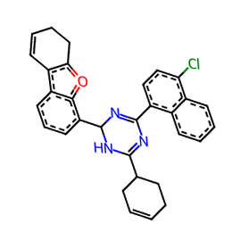 Clc1ccc(C2=NC(c3cccc4c5c(oc34)CCC=C5)NC(C3CC=CCC3)=N2)c2ccccc12